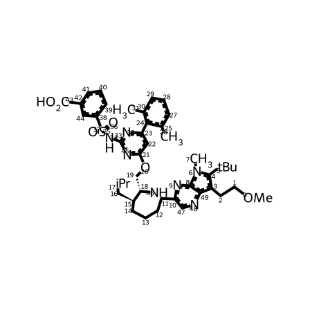 COCCc1c(C(C)(C)C)n(C)c2nc(C3CCC[C@@H](CC(C)C)[C@H](COc4cc(-c5c(C)cccc5C)nc(NS(=O)(=O)c5cccc(C(=O)O)c5)n4)N3)cnc12